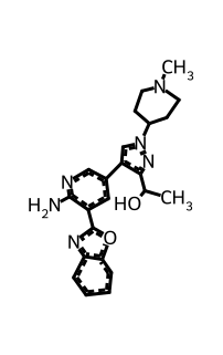 CC(O)c1nn(C2CCN(C)CC2)cc1-c1cnc(N)c(-c2nc3ccccc3o2)c1